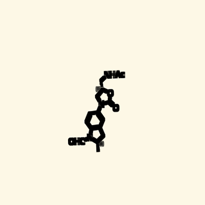 CC(=O)NC[C@H]1CN(c2ccc3c(c2)C[C@@H](C)N3C=O)C(=O)O1